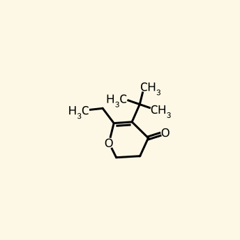 CCC1=C(C(C)(C)C)C(=O)CCO1